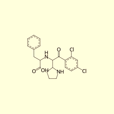 O=C(O)C(Cc1ccccc1)NC(C(=O)c1ccc(Cl)cc1Cl)C1CCCN1